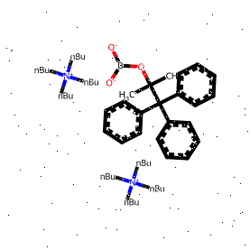 CC(C)(OB([O-])[O-])C(c1ccccc1)(c1ccccc1)c1ccccc1.CCCC[N+](CCCC)(CCCC)CCCC.CCCC[N+](CCCC)(CCCC)CCCC